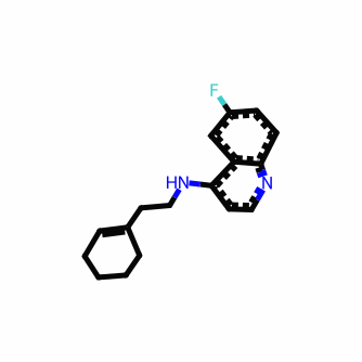 Fc1ccc2nccc(NCCC3=CCCCC3)c2c1